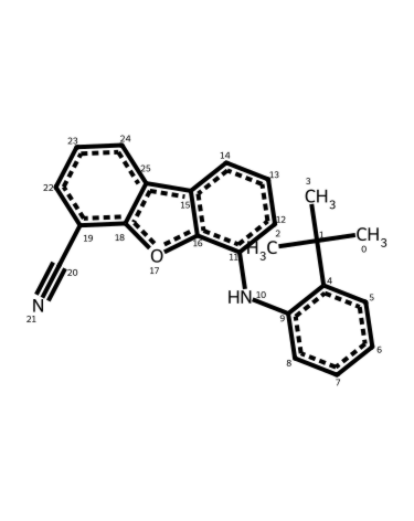 CC(C)(C)c1ccccc1Nc1cccc2c1oc1c(C#N)cccc12